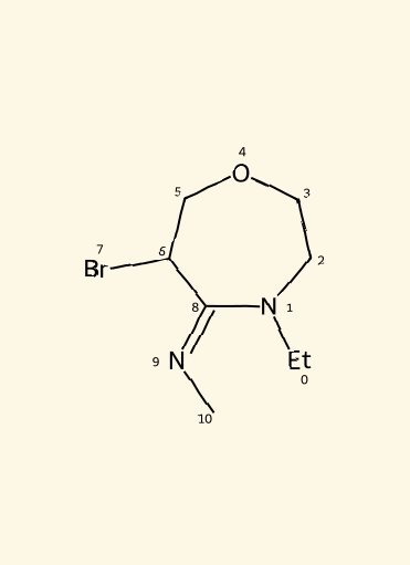 CCN1CCOCC(Br)/C1=N/C